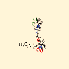 CCCCCCCC(=O)n1c(=O)ccc2ccc(OCCCCN3CCN(c4cccc(Cl)c4Cl)CC3)cc21